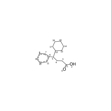 O=C(O)CCC(c1ccccc1)C1CCCCC1